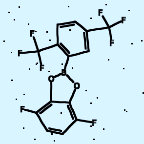 Fc1ccc(F)c2c1OB(c1cc(C(F)(F)F)ccc1C(F)(F)F)O2